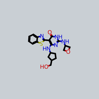 O=c1[nH]c(NC2COC2)nc(NC2CCC(CO)C2)c1-c1nc2ccccc2s1